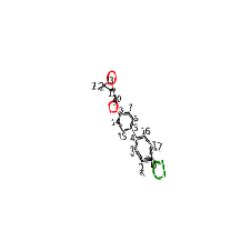 Clc1ccc(-c2ccc(OCC3CO3)cc2)cc1